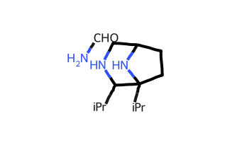 CC(C)C1NCC2CCC1(C(C)C)N2.NC=O